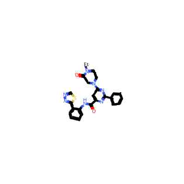 CCN1CCN(c2cc(C(=O)Nc3ccccc3-c3nncs3)nc(-c3ccccc3)n2)CC1=O